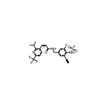 C#Cc1cc(CNC(=O)/C=C\c2ccc(C(F)(F)F)nc2C(C)C)cc(F)c1NS(C)(=O)=O